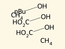 C.C.CCCCO.O=C(O)O.O=C(O)O